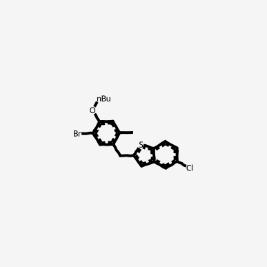 CCCCOc1cc(C)c(Cc2cc3cc(Cl)ccc3s2)cc1Br